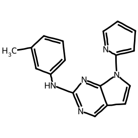 Cc1cccc(Nc2ncc3ccn(-c4ccccn4)c3n2)c1